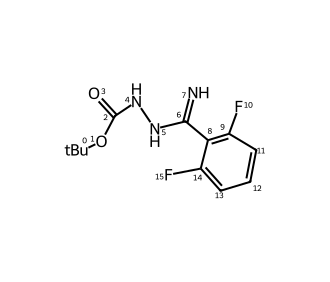 CC(C)(C)OC(=O)NNC(=N)c1c(F)cccc1F